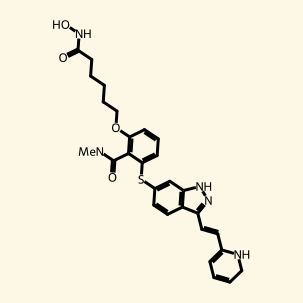 CNC(=O)c1c(OCCCCCC(=O)NO)cccc1Sc1ccc2c(/C=C/C3=CC=CCN3)n[nH]c2c1